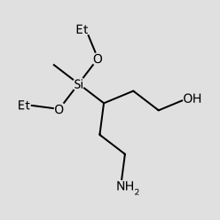 CCO[Si](C)(OCC)C(CCN)CCO